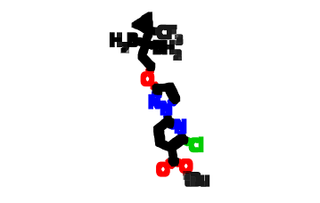 BC(B)(CCOc1ccn(-c2ccc(C(=O)OC(C)(C)C)c(Cl)n2)n1)C1(C(F)(F)F)CC1